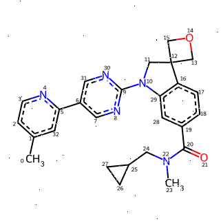 Cc1ccnc(-c2cnc(N3CC4(COC4)c4ccc(C(=O)N(C)CC5CC5)cc43)nc2)c1